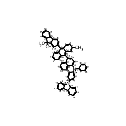 Cc1ccc2c(-c3ccc4c(c3)C(C)(C)c3ccccc3-4)c3ccccc3c(-c3ccc(N(c4ccccc4)c4ccc(-n5c6ccccc6c6ccccc65)cc4)c4ccccc34)c2c1